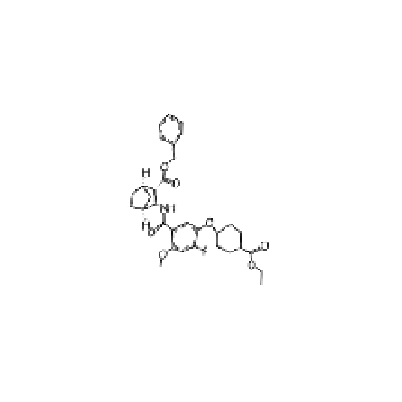 CCOC(=O)[C@H]1CC[C@@H](Oc2cc(C(=O)N[C@H]3[C@@H](C(=O)OCc4ccccc4)[C@@H]4C=C[C@H]3C4)c(OC)cc2F)CC1